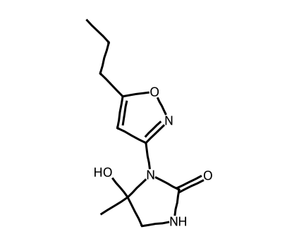 CCCc1cc(N2C(=O)NCC2(C)O)no1